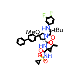 C=CC1C[C@]1(NC(=O)[C@@H]1C[C@@](OC)(c2ccc(-c3ccccc3)cc2)CN1C(=O)[C@H](Nc1ccc(F)c(F)c1)C(C)(C)C)C(=O)NS(=O)(=O)C1CC1